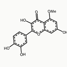 COc1cc(O)cc2oc(-c3ccc(O)c(O)c3)c(O)c(=O)c12